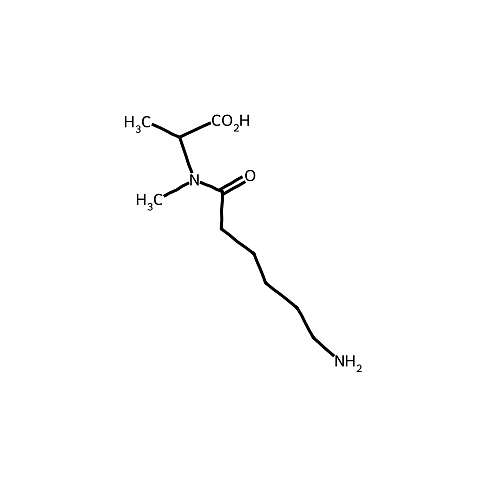 CC(C(=O)O)N(C)C(=O)CCCCCN